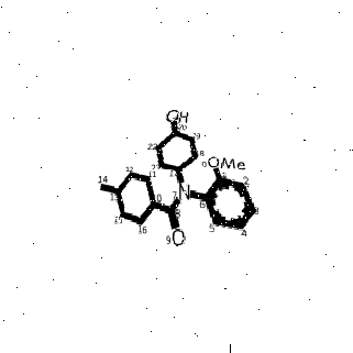 COc1[c]cccc1N(C(=O)C1CCC(C)CC1)C1CCC(O)CC1